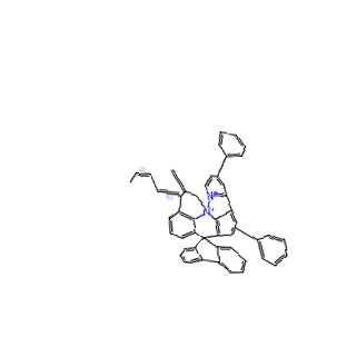 C=C1CC[N+]23c4c(cccc4C4(c5ccccc5-c5ccccc54)c4cc(-c5ccccc5)cc(c42)-c2cc(-c4ccccc4)cc[n+]23)/C1=C/C=C\C